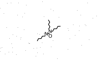 CCCCC[N]C(=O)N(CCCCC)CCCCC